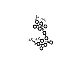 C=CCSc1ccc(C2(c3cc(C)ccc3C)c3ccccc3-c3ccc(N(c4ccccc4)c4ccc(-c5ccc(N(c6ccccc6)c6ccc7c(c6)C(c6ccc(SCC)cc6)(c6cc(C)ccc6C)c6ccccc6-7)cc5)cc4)cc32)cc1